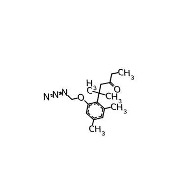 CCC(=O)CC(C)(C)c1c(C)cc(C)cc1OCN=[N+]=[N-]